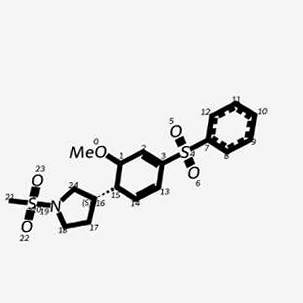 COC1C=C(S(=O)(=O)c2ccccc2)C=CC1[C@@H]1CCN(S(C)(=O)=O)C1